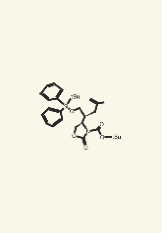 C=C(C)C[C@H](CO[Si](c1ccccc1)(c1ccccc1)C(C)(C)C)[C@@H]1COC(=O)N1C(=O)OC(C)(C)C